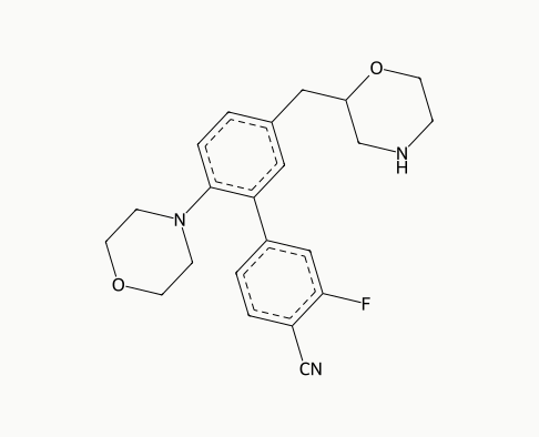 N#Cc1ccc(-c2cc(CC3CNCCO3)ccc2N2CCOCC2)cc1F